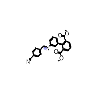 COC(=O)c1cccc(C(=O)OC)c1-c1cccc(/N=C/c2ccc(C#N)cc2)c1